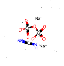 N=C=N.[Na+].[Na+].[O]=[Cr](=[O])([O-])[O][Cr](=[O])(=[O])[O-]